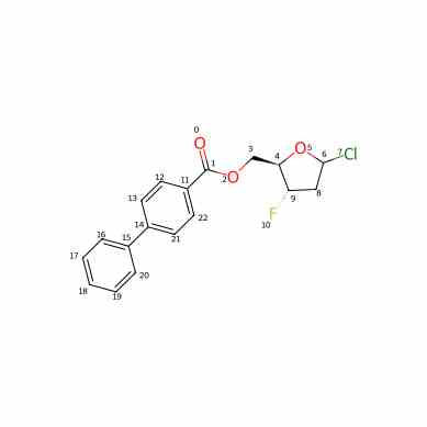 O=C(OC[C@H]1OC(Cl)C[C@@H]1F)c1ccc(-c2ccccc2)cc1